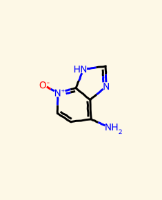 Nc1cc[n+]([O-])c2[nH]cnc12